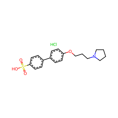 Cl.O=S(=O)(O)c1ccc(-c2ccc(OCCCN3CCCC3)cc2)cc1